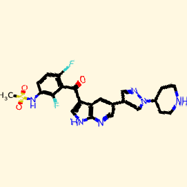 CS(=O)(=O)Nc1ccc(F)c(C(=O)c2c[nH]c3ncc(-c4cnn(C5CCNCC5)c4)cc23)c1F